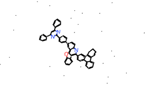 C1=Cc2c(c3cc(-c4nc5ccc(-c6ccc(-c7nc(-c8ccccc8)cc(-c8ccccc8)n7)cc6)cc5c5oc6ccccc6c45)ccc3c3ccccc23)CC1